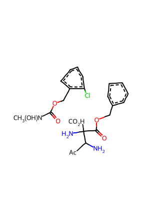 CC(=O)C(N)C(N)(C(=O)O)C(=O)OCc1ccccc1.CN(O)C(=O)OCc1ccccc1Cl